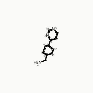 NCc1ccc(-c2ccncn2)cc1